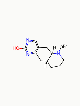 CCCN1CCC[C@@H]2Cc3nc(O)ncc3C[C@H]21